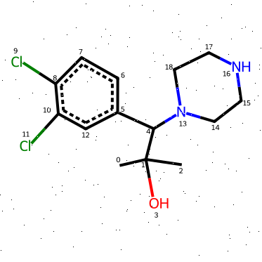 CC(C)(O)C(c1ccc(Cl)c(Cl)c1)N1CCNCC1